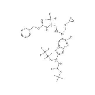 CC(C)(C)OC(=O)N[C@@H](CC(C)(C)C(F)(F)F)c1cn2nc(Cl)c([C@@H](COC3CC3)NC[C@H](NC(=O)OCc3ccccc3)C(F)(F)F)cc2n1